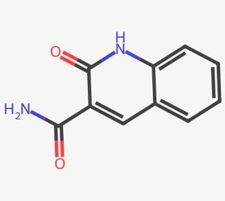 NC(=O)c1cc2ccccc2[nH]c1=O